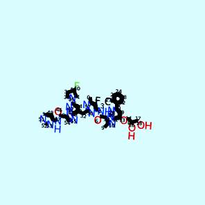 Cc1cc(NC(=O)c2c(C)nc3c(OC[C@H](O)CO)cc(-c4ccccc4C(F)(F)F)nn23)nc(Cc2cc(N3CC[C@H](F)C3)nn3c(C(=O)Nc4ccncn4)cnc23)n1